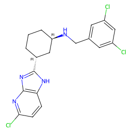 Clc1cc(Cl)cc(CN[C@@H]2CCC[C@@H](c3nc4nc(Cl)ccc4[nH]3)C2)c1